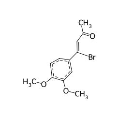 COc1ccc(/C(Br)=C/C(C)=O)cc1OC